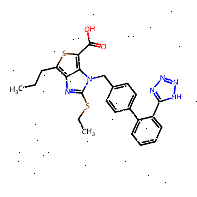 CCCc1sc(C(=O)O)c2c1nc(SCC)n2Cc1ccc(-c2ccccc2-c2nnn[nH]2)cc1